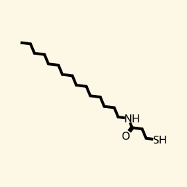 CCCCCCCCCCCCCCCNC(=O)CCS